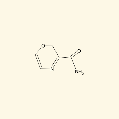 NC(=O)C1=NC=COC1